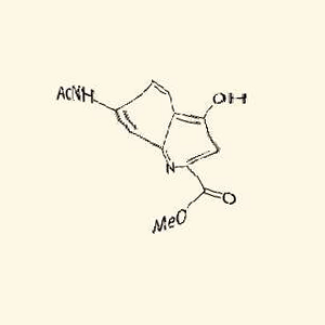 COC(=O)c1cc(O)c2ccc(NC(C)=O)cc2n1